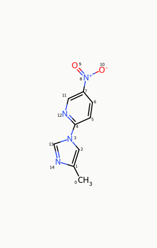 Cc1cn(-c2ccc([N+](=O)[O-])cn2)cn1